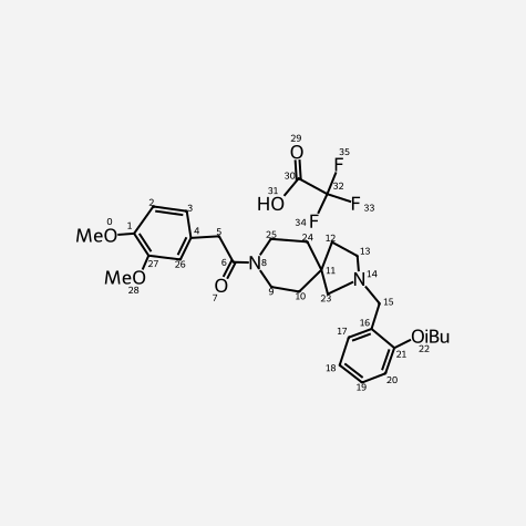 COc1ccc(CC(=O)N2CCC3(CCN(Cc4ccccc4OCC(C)C)C3)CC2)cc1OC.O=C(O)C(F)(F)F